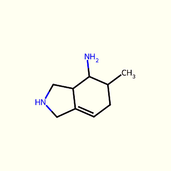 CC1CC=C2CNCC2C1N